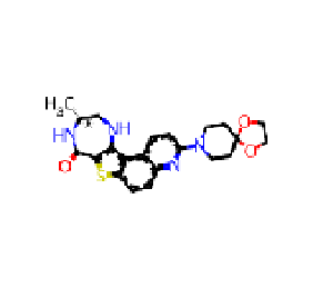 C[C@@H]1CNc2c(sc3ccc4nc(N5CCC6(CC5)OCCO6)ccc4c23)C(=O)N1